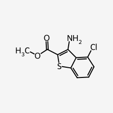 COC(=O)c1sc2cccc(Cl)c2c1N